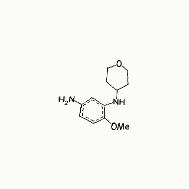 COc1ccc(N)cc1NC1CCOCC1